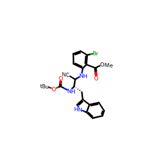 COC(=O)c1c(Br)cccc1NC(C#N)[C@H](Cc1c[nH]c2ccccc12)NC(=O)OC(C)(C)C